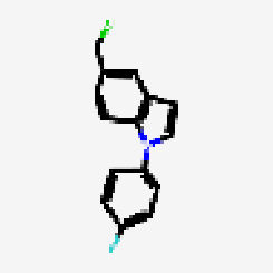 Fc1ccc(-n2ccc3cc(CCl)ccc32)cc1